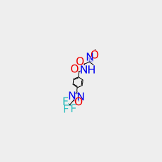 CO/N=C(\C)C(=O)NC(=O)c1ccc(-c2noc(C(F)(F)F)n2)cc1